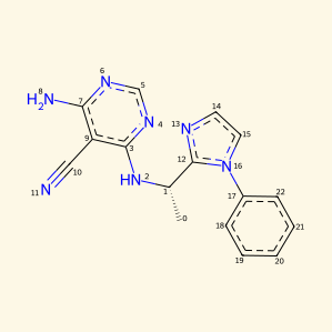 C[C@H](Nc1ncnc(N)c1C#N)c1nccn1-c1ccccc1